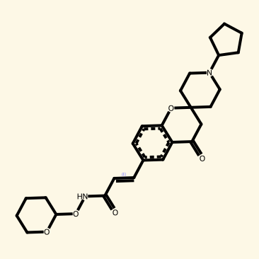 O=C(/C=C/c1ccc2c(c1)C(=O)CC1(CCN(C3CCCC3)CC1)O2)NOC1CCCCO1